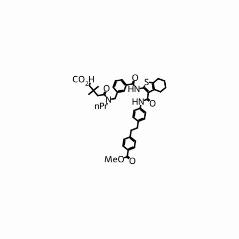 CCCN(Cc1cccc(C(=O)Nc2sc3c(c2C(=O)Nc2ccc(CCc4ccc(C(=O)OC)cc4)cc2)CCCC3)c1)C(=O)CC(C)(C)CC(=O)O